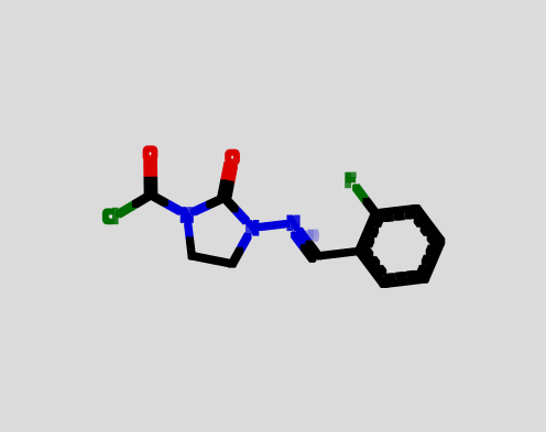 O=C(Cl)N1CCN(/N=C/c2ccccc2F)C1=O